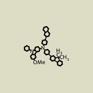 COc1ccc2c(c1)c1cc(N(c3ccc(-c4ccc5c(c4)C(C)(C)c4ccccc4-5)cc3)c3ccc(-c4ccc5ccccc5c4)cc3)ccc1n2-c1ccccc1